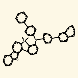 C[Si]1(C)c2ccc3c(oc4ccccc43)c2-c2cccc(N(c3ccc(-c4ccccc4)cc3)c3ccc(-c4ccc5ccccc5c4)cc3)c21